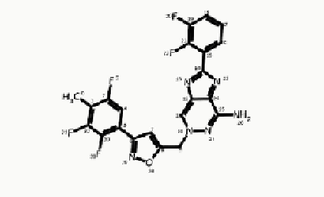 Cc1c(F)cc(-c2cc(Cn3cc4nc(-c5cccc(F)c5F)nc-4c(N)n3)on2)c(F)c1F